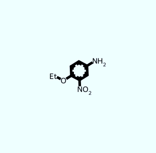 CCOc1ccc(N)cc1[N+](=O)[O-]